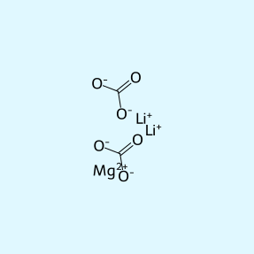 O=C([O-])[O-].O=C([O-])[O-].[Li+].[Li+].[Mg+2]